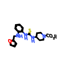 CCOC(=O)N1CCC(NC(=S)Nc2ccccc2NCc2ccco2)CC1